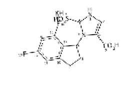 O=C(O)C1=CNC(S(=O)(=O)O)N1C1CCc2cc(F)cc(F)c21.[KH]